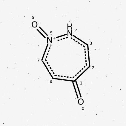 O=c1cc[nH][n+](=O)cc1